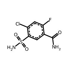 NC(=O)c1cc(S(N)(=O)=O)c(Cl)cc1F